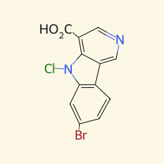 O=C(O)c1cncc2c3ccc(Br)cc3n(Cl)c12